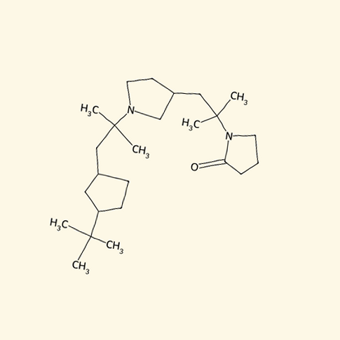 CC(C)(C)C1CCC(CC(C)(C)N2CCC(CC(C)(C)N3CCCC3=O)C2)C1